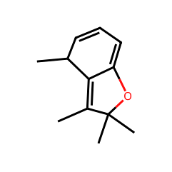 CC1=C2C(=CC=CC2C)OC1(C)C